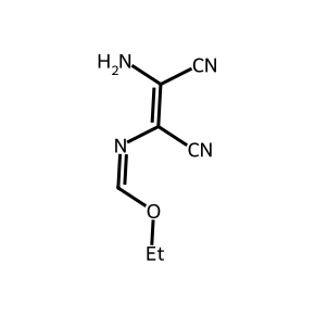 CCO/C=N\C(C#N)=C(/N)C#N